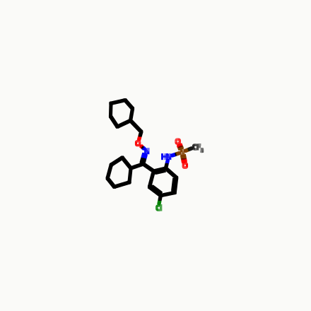 O=S(=O)(Nc1ccc(Cl)cc1/C(=N/OCC1CCCCC1)C1CCCCC1)C(F)(F)F